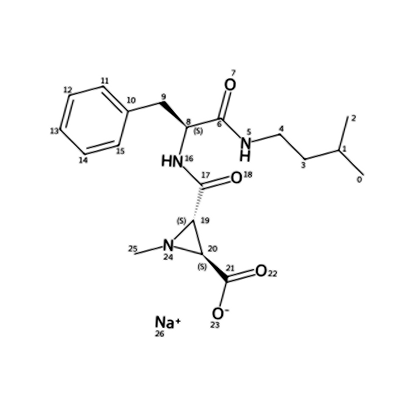 CC(C)CCNC(=O)[C@H](Cc1ccccc1)NC(=O)[C@@H]1[C@@H](C(=O)[O-])N1C.[Na+]